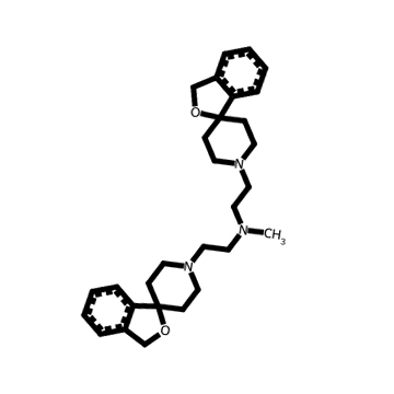 CN(CCN1CCC2(CC1)OCc1ccccc12)CCN1CCC2(CC1)OCc1ccccc12